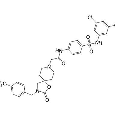 Cc1ccc(CN2CC3(CCN(CC(=O)Nc4ccc(S(=O)(=O)Nc5cc(Cl)cc(Cl)c5)cc4)CC3)OC2=O)cc1